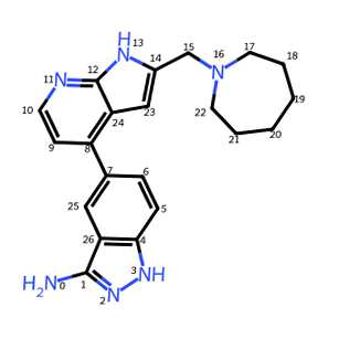 Nc1n[nH]c2ccc(-c3ccnc4[nH]c(CN5CCCCCC5)cc34)cc12